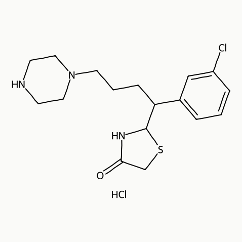 Cl.O=C1CSC(C(CCCN2CCNCC2)c2cccc(Cl)c2)N1